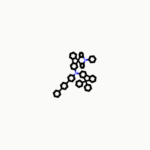 c1ccc(-c2ccc(-c3ccc(N(c4ccc5c(c4)C(c4ccccc4)(c4ccccc4)c4ccccc4-5)c4ccc5c(c4)C4(c6ccccc6-5)c5ccccc5N(c5ccccc5)c5ccccc54)cc3)cc2)cc1